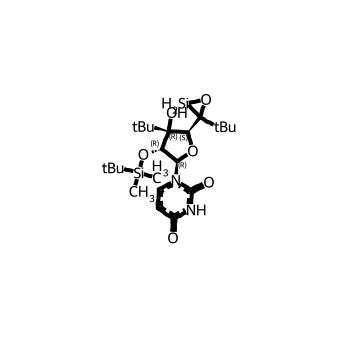 CC(C)(C)C1([C@H]2O[C@@H](n3ccc(=O)[nH]c3=O)[C@H](O[Si](C)(C)C(C)(C)C)[C@@]2(O)C(C)(C)C)O[SiH2]1